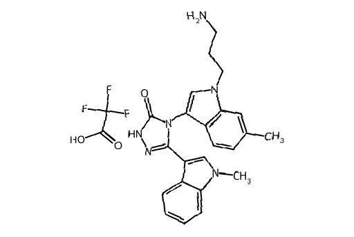 Cc1ccc2c(-n3c(-c4cn(C)c5ccccc45)n[nH]c3=O)cn(CCCN)c2c1.O=C(O)C(F)(F)F